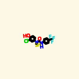 O=C(Nc1ccc(C(F)(F)F)cc1)N(S)c1ccc(O)c(Cl)c1